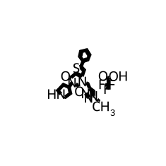 CCn1cc(Cn2c(=O)n(C3CCNCC3)c(=O)c3sc(-c4ccccc4)cc32)nn1.O=C(O)C(F)(F)F